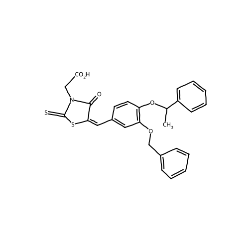 CC(Oc1ccc(C=C2SC(=S)N(CC(=O)O)C2=O)cc1OCc1ccccc1)c1ccccc1